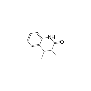 CC1C(=O)Nc2ccccc2C1C